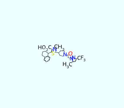 Cc1cc(C(F)(F)F)nn1CC(=O)N1CCC(C2SC(C3CCCc4ccccc43)=C(C(=O)O)N2C)CC1